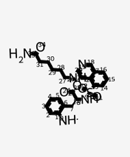 [NH]c1ccccc1C[C@H](NS(=O)(=O)c1cccc2cnccc12)C(=O)ONCCCCCC(N)=O